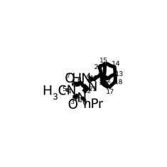 CCCn1c(=O)n(C)c(=O)c2[nH]c(C34CC5CC(CC(C5)C3)C4)nc21